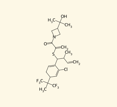 C=CC(C)C(SC(=C)C(=O)N1CC(C(C)(C)O)C1)C1=CCC(C(C)(C(F)(F)F)C(F)(F)F)C=C1Cl